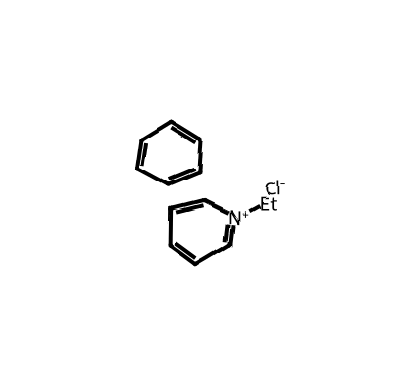 CC[n+]1ccccc1.[Cl-].c1ccccc1